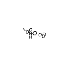 C=CCOC(=O)Nc1ccc(COC2CCCO2)cc1